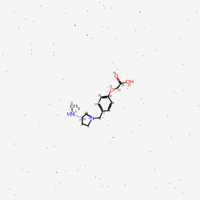 CN[C@H]1CCN(Cc2ccc(OCC(=O)O)cc2)C1